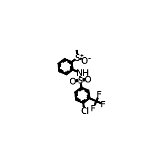 C[S+]([O-])c1ccccc1NS(=O)(=O)c1ccc(Cl)c(C(F)(F)F)c1